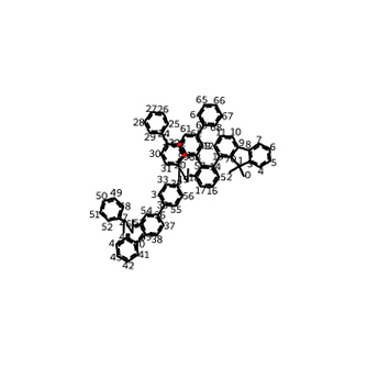 CC1(C)c2ccccc2-c2cccc(-c3cccc(N(c4ccc(-c5ccccc5)cc4)c4ccc(-c5ccc6c7ccccc7n(-c7ccccc7)c6c5)cc4)c3-c3cccc(-c4ccccc4)c3)c21